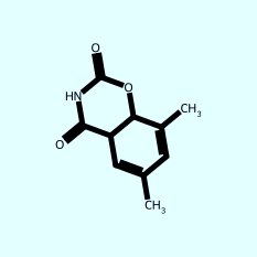 CC1=CC2C(=O)NC(=O)OC2C(C)=C1